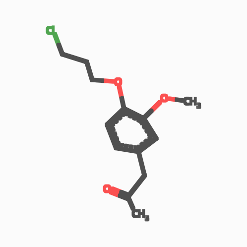 COc1cc(CC(C)=O)ccc1OCCCCl